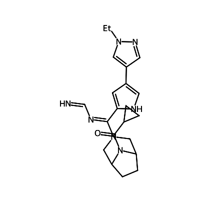 CCn1cc(-c2c[nH]c(/C(=N\C=N)N3CC4CCC(C3)N4C(=O)C3CC3)c2)cn1